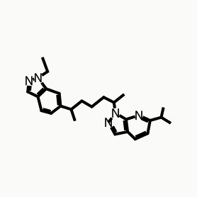 CCn1ncc2ccc(C(C)CCCC(C)n3ncc4ccc(C(C)C)nc43)cc21